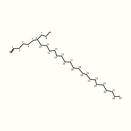 [CH]=CCCCCC(CCC)CCCCCCCCCCCCCCCCCCCC